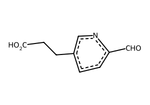 O=Cc1ccc(CCC(=O)O)cn1